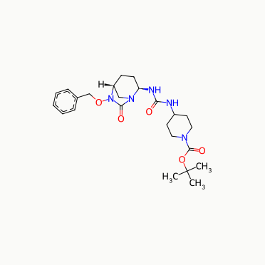 CC(C)(C)OC(=O)N1CCC(NC(=O)N[C@@H]2CC[C@@H]3CN2C(=O)N3OCc2ccccc2)CC1